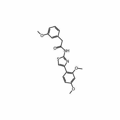 COc1cccc(CC(=O)Nc2nc(-c3ccc(OC)cc3OC)cs2)c1